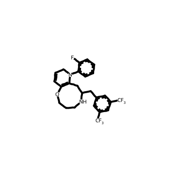 Fc1ccccc1N1CC=CC2=C1CC(Cc1cc(C(F)(F)F)cc(C(F)(F)F)c1)NCCCO2